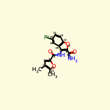 Cc1cc(C(=O)Nc2c(C(N)=O)oc3ccc(F)cc23)oc1C